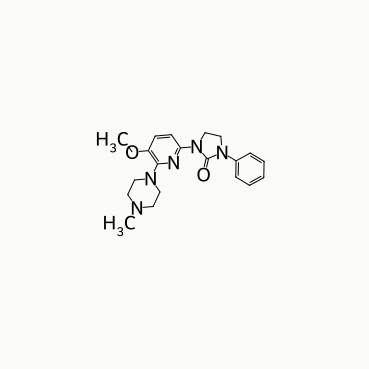 COc1ccc(N2CCN(c3ccccc3)C2=O)nc1N1CCN(C)CC1